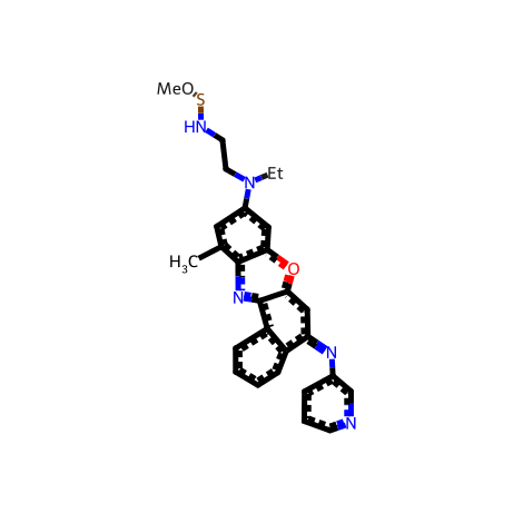 CCN(CCNSOC)c1cc(C)c2nc3c4ccccc4/c(=N\c4cccnc4)cc-3oc2c1